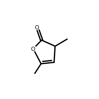 CC1=CC(C)C(=O)O1